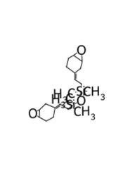 C[Si](C)(CC=C1CCC2OC2C1)O[Si](C)(C)CC=C1CCC2OC2C1